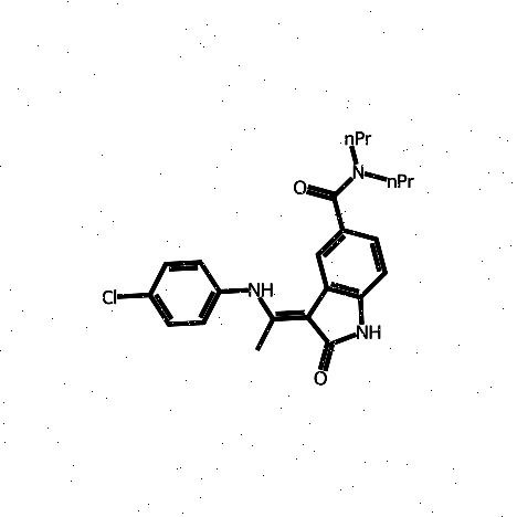 CCCN(CCC)C(=O)c1ccc2c(c1)C(=C(C)Nc1ccc(Cl)cc1)C(=O)N2